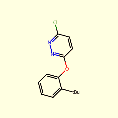 CC(C)(C)c1ccccc1Oc1ccc(Cl)nn1